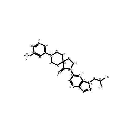 O=C1N(c2cnc3cnn(CC(F)F)c3n2)CCC12CCN(c1cncc(C(F)(F)F)c1)CC2